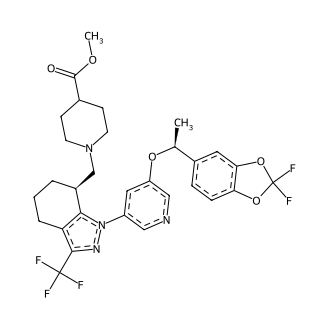 COC(=O)C1CCN(C[C@@H]2CCCc3c(C(F)(F)F)nn(-c4cncc(O[C@@H](C)c5ccc6c(c5)OC(F)(F)O6)c4)c32)CC1